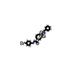 O=C(/C=C/c1ccc(Br)cc1)N1CCCN(S(=O)(=O)/C=C/c2ccccc2)CC1